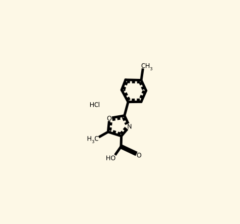 Cc1ccc(-c2nc(C(=O)O)c(C)o2)cc1.Cl